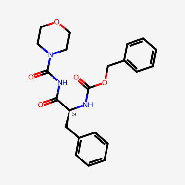 O=C(N[C@@H](Cc1ccccc1)C(=O)NC(=O)N1CCOCC1)OCc1ccccc1